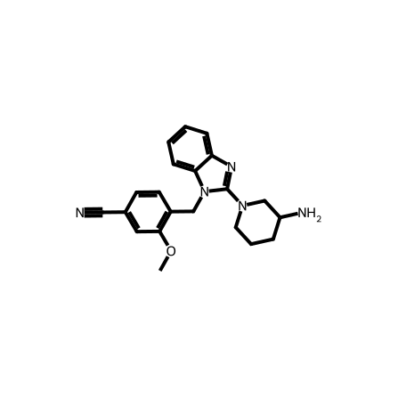 COc1cc(C#N)ccc1Cn1c(N2CCCC(N)C2)nc2ccccc21